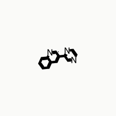 [c]1nc2ccccc2cc1-c1cnccn1